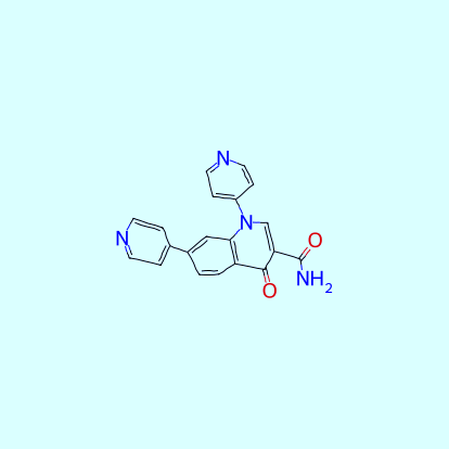 NC(=O)c1cn(-c2ccncc2)c2cc(-c3ccncc3)ccc2c1=O